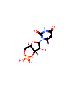 O=c1cc(I)n([C@@H]2O[C@@H]3COP(=O)(O)O[C@H]3[C@H]2O)c(=O)[nH]1